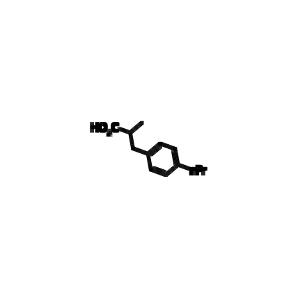 CCCc1ccc(CC(C)C(=O)O)cc1